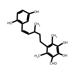 Cc1c(O)c(O)c(C=O)c(C)c1CCC(C)/C=C\c1cc(O)ccc1O